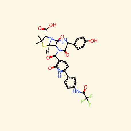 CC1(C)S[C@@H]2[C@H](N(C(=O)c3ccc(-c4ccc(NC(=O)C(F)(F)F)cc4)[nH]c3=O)C(=O)C(N)c3ccc(O)cc3)C(=O)N2[C@H]1C(=O)O